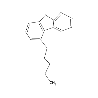 CCCCCc1cccc2c1-c1ccccc1[CH]2